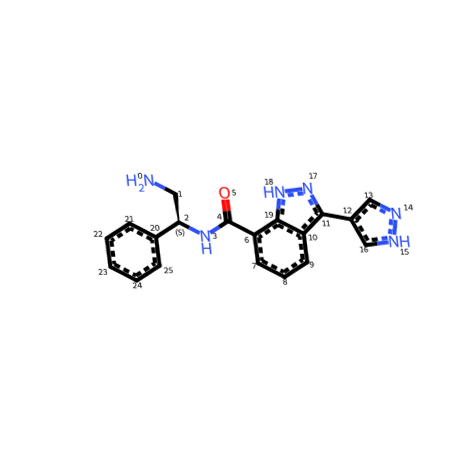 NC[C@@H](NC(=O)c1cccc2c(-c3cn[nH]c3)n[nH]c12)c1ccccc1